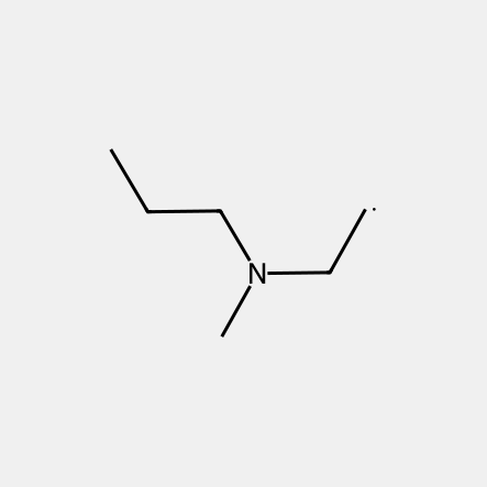 [CH2]CN(C)CCC